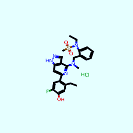 CCc1cc(O)c(F)cc1-c1cc2[nH]ncc2c(N(C)Cc2ccccc2N(CC)S(C)(=O)=O)n1.Cl